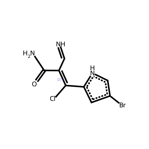 N=C/C(C(N)=O)=C(/Cl)c1cc(Br)c[nH]1